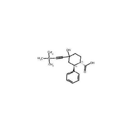 C[Si](C)(C)C#CC1(O)CC[C@H](C(=O)O)[C@@H](c2ccccc2)C1